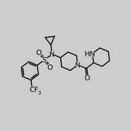 O=C(C1CCCCN1)N1CCC(N(C2CC2)S(=O)(=O)c2cccc(C(F)(F)F)c2)CC1